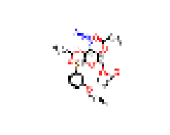 CCOc1cccc(S[C@H]2OC(COC(C)=O)[C@H](OC(C)=O)[C@H](N=[N+]=[N-])C2OC(C)=O)c1